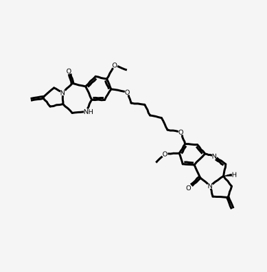 C=C1CC2CNc3cc(OCCCCCOc4cc5c(cc4OC)C(=O)N4CC(=C)C[C@H]4C=N5)c(OC)cc3C(=O)N2C1